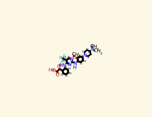 COc1cc(N2CCC(N(C)C)CC2)ccc1Nc1ncc(C(F)(F)F)c(Nc2ccccc2C(=O)C(=O)O)n1